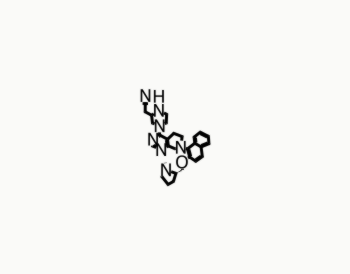 CN1CCC[C@H]1COc1ccc2ccccc2c1N1CCc2c(ncnc2N2CCNC(CC#N)C2)C1